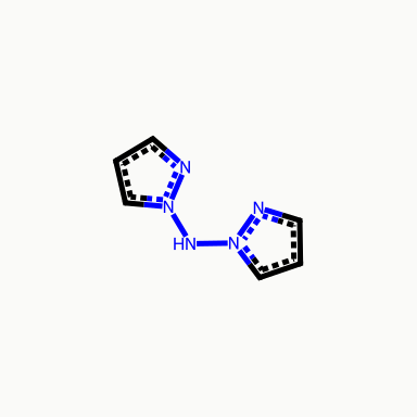 c1cnn(Nn2cccn2)c1